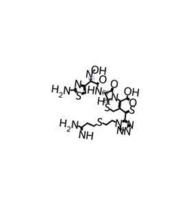 N=C(N)CCSCCn1nnnc1C(=S)C1=C(C(=O)O)N2C(=O)[C@@H](NC(=O)/C(=N\O)c3csc(N)n3)[C@@H]2SC1